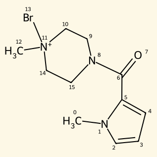 Cn1cccc1C(=O)N1CC[N+](C)(Br)CC1